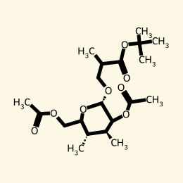 CC(=O)OCC1O[C@H](OCC(C)C(=O)OC(C)(C)C)C(OC(C)=O)[C@@H](C)[C@@H]1C